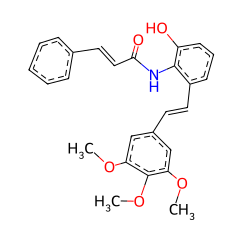 COc1cc(C=Cc2cccc(O)c2NC(=O)C=Cc2ccccc2)cc(OC)c1OC